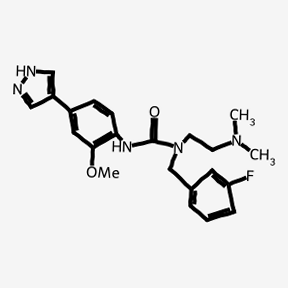 COc1cc(-c2cn[nH]c2)ccc1NC(=O)N(CCN(C)C)Cc1cccc(F)c1